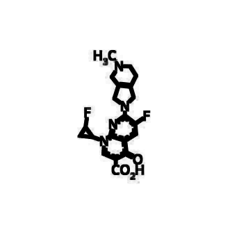 CN1CCC2=C(C1)CN(c1nc3c(cc1F)c(=O)c(C(=O)O)cn3C1CC1F)C2